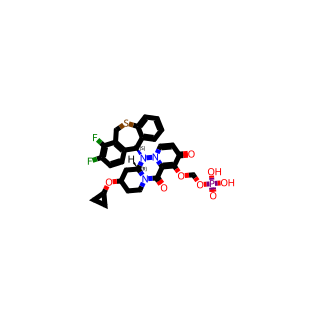 O=C1c2c(OCOP(=O)(O)O)c(=O)ccn2N([C@@H]2c3ccccc3SCc3c2ccc(F)c3F)[C@@H]2CC(OC3CC3)CCN12